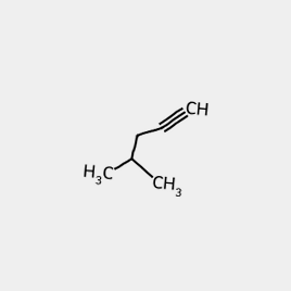 C#CCC(C)C